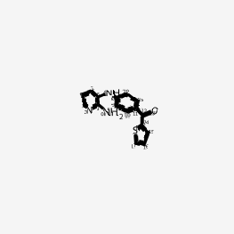 Nc1ncccc1Nc1ccc(C(=O)c2cccs2)cc1